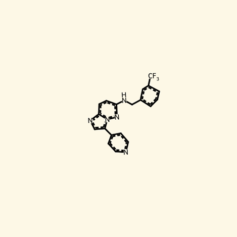 FC(F)(F)c1cccc(CNc2ccc3ncc(-c4ccncc4)n3n2)c1